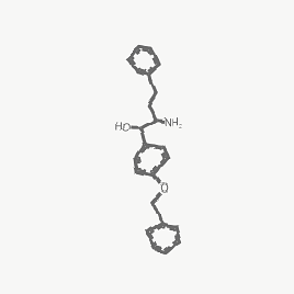 NC(CCc1ccccc1)C(O)c1ccc(OCc2ccccc2)cc1